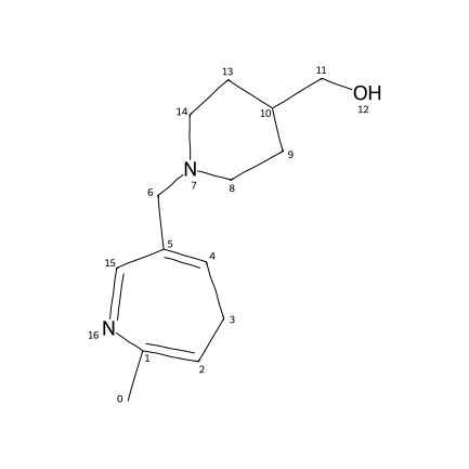 CC1=CCC=C(CN2CCC(CO)CC2)C=N1